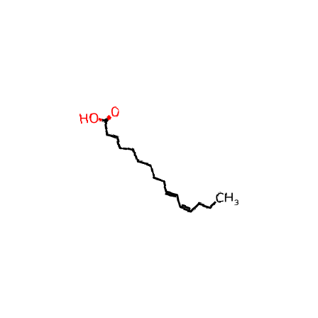 CCC/C=C\C=C\CCCCCCCCC(=O)O